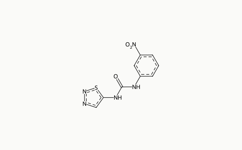 O=C(Nc1cccc([N+](=O)[O-])c1)Nc1cnns1